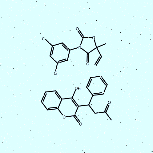 C=CC1(C)OC(=O)N(c2cc(Cl)cc(Cl)c2)C1=O.CC(=O)CC(c1ccccc1)c1c(O)c2ccccc2oc1=O